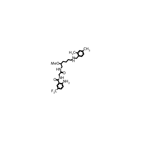 COC(CCCCNCc1ccc(C)cc1C)CNC(=O)CNC(=O)c1cc(C(F)(F)F)ccc1N